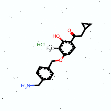 Cl.NCc1ccc(COc2ccc(C(=O)CC3CC3)c(O)c2C(F)(F)F)cc1